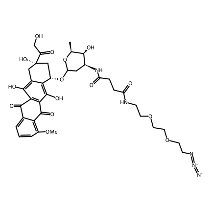 COc1cccc2c1C(=O)c1c(O)c3c(c(O)c1C2=O)C[C@@](O)(C(=O)CO)C[C@@H]3OC1C[C@H](NC(=O)CCC(=O)NCCOCCOCCN=[N+]=[N-])[C@H](O)[C@H](C)O1